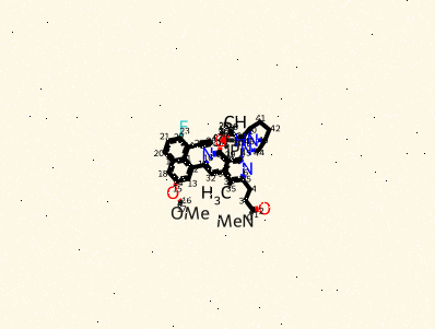 CNC(=O)CCc1nc2c3c(nc(-c4cc(OCOC)cc5ccc(F)c(C#C[Si](C(C)C)(C(C)C)C(C)C)c45)cc3c1C)OC(C)C1C3CCC(CN21)N3